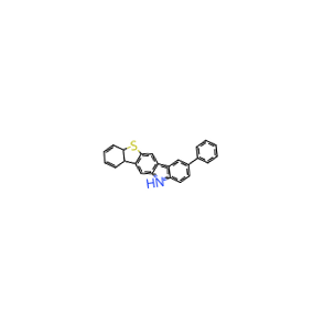 C1=CC2Sc3cc4c(cc3C2C=C1)[nH]c1ccc(-c2ccccc2)cc14